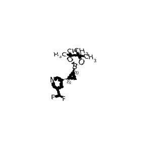 CC1(C)OB([C@H]2C[C@@H]2c2cncc(C(F)F)c2)OC1(C)C